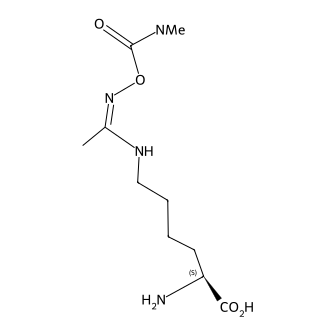 CNC(=O)ON=C(C)NCCCC[C@H](N)C(=O)O